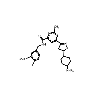 COc1cc(CNC(=O)c2cc(C3=NOC(C4CCC(NC(C)=O)CC4)C3)nc(C)n2)ccc1F